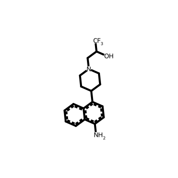 Nc1ccc(C2CCN(CC(O)C(F)(F)F)CC2)c2ccccc12